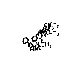 CCCCc1nc(C(CCC)(OC)OC)nn1Cc1ccc(-n2c(-c3nnn[nH]3)ccc2C2CCCCC2)cc1